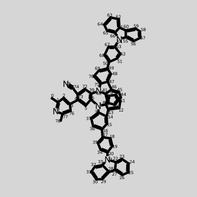 Cc1cc(-c2cc(-n3c4ccccc4c4cc(-c5ccc(-n6c7ccccc7c7ccccc76)cc5)ccc43)c(-n3c4ccccc4c4cc(-c5ccc(-n6c7ccccc7c7ccccc76)cc5)ccc43)cc2C#N)cc(C)n1